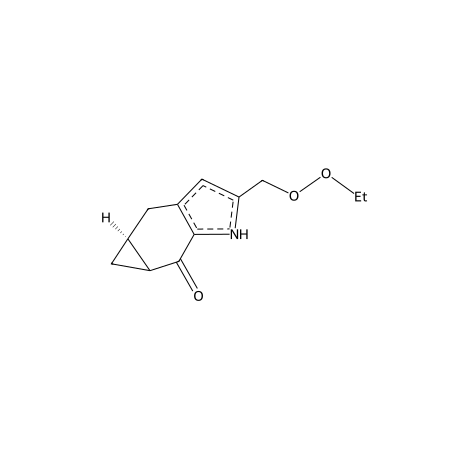 CCOOCc1cc2c([nH]1)C(=O)C1C[C@H]1C2